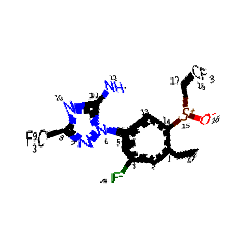 Cc1cc(F)c(-n2nc(C(F)(F)F)nc2[NH])cc1[S+]([O-])CC(F)(F)F